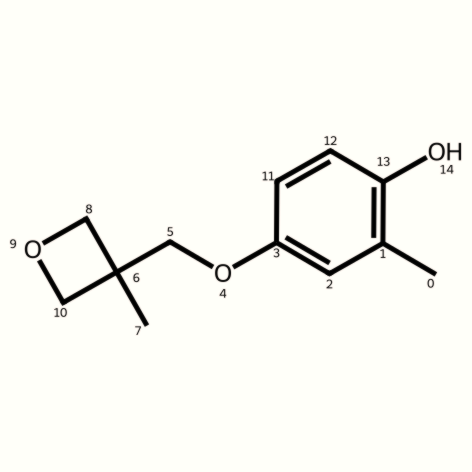 Cc1cc(OCC2(C)COC2)ccc1O